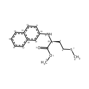 COC(=O)[C@H](CCSC)Nc1ccc2ccccc2c1